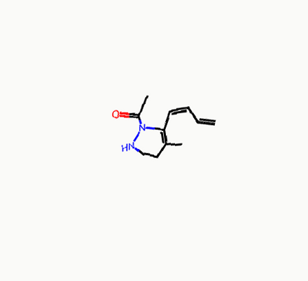 C=C/C=C\C1=C(C)CCNN1C(C)=O